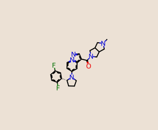 CN1CC2CN(C(=O)c3cnn4ccc(N5CCC[C@@H]5c5cc(F)ccc5F)cc34)CC2C1